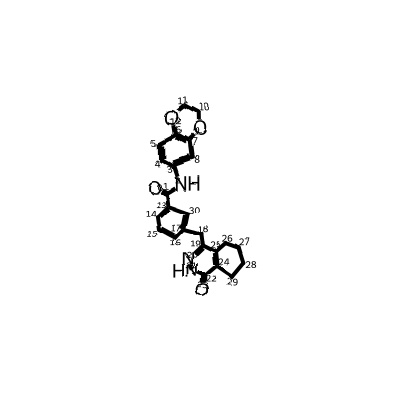 O=C(Nc1ccc2c(c1)OCCO2)c1cccc(Cc2n[nH]c(=O)c3c2CCCC3)c1